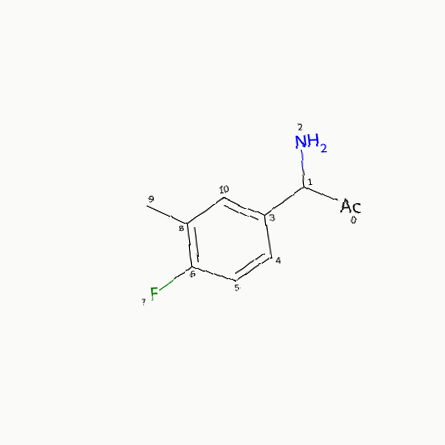 CC(=O)C(N)c1ccc(F)c(C)c1